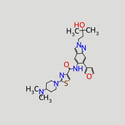 CN(C)C1CCN(c2nc(C(=O)Nc3cc4cn(CCC(C)(C)O)nc4cc3-c3ccoc3)cs2)CC1